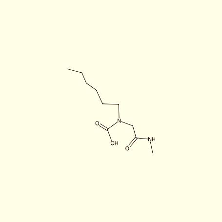 CCCCCCN(CC(=O)NC)C(=O)O